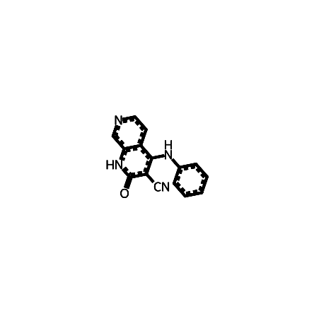 N#Cc1c(Nc2ccccc2)c2ccncc2[nH]c1=O